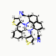 N#Cc1ccccc1N1B2c3c(cccc3-c3sccc3N2c2ccccc2C#N)-c2sccc21